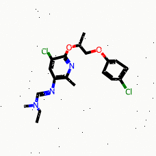 CCN(C)/C=N/c1cc(Cl)c(OC(C)COc2ccc(Cl)cc2)nc1C